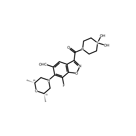 C[C@@H]1CN(c2c(C=O)cc3c(C(=O)N4CCS(O)(O)CC4)noc3c2F)C[C@H](C)O1